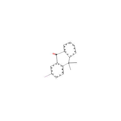 CC1(C)c2ccccc2C(=O)c2cc(I)ccc21